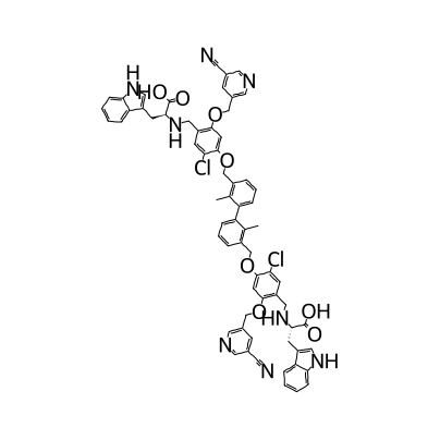 Cc1c(COc2cc(OCc3cncc(C#N)c3)c(CN[C@@H](Cc3c[nH]c4ccccc34)C(=O)O)cc2Cl)cccc1-c1cccc(COc2cc(OCc3cncc(C#N)c3)c(CN[C@@H](Cc3c[nH]c4ccccc34)C(=O)O)cc2Cl)c1C